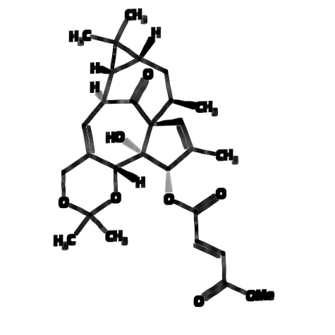 COC(=O)/C=C/C(=O)O[C@H]1C(C)=C[C@]23C(=O)[C@@H](C=C4COC(C)(C)O[C@H]4[C@]12O)[C@H]1[C@@H](C[C@H]3C)C1(C)C